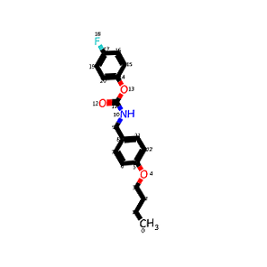 CCCCOc1ccc(CNC(=O)Oc2ccc(F)cc2)cc1